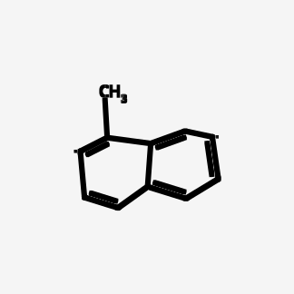 Cc1[c]ccc2cc[c]cc12